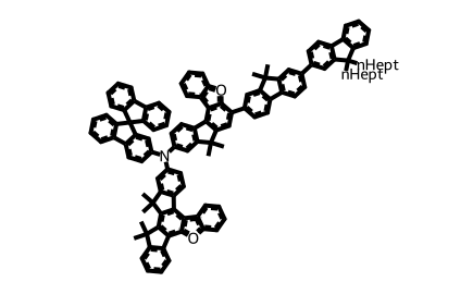 CCCCCCCC1(CCCCCCC)c2ccccc2-c2ccc(-c3ccc4c(c3)C(C)(C)c3cc(-c5cc6c(c7c5oc5ccccc57)-c5ccc(N(c7ccc8c(c7)C(C)(C)c7c9c(c%10oc%11ccccc%11c%10c7-8)-c7ccccc7C9(C)C)c7ccc8c(c7)C7(c9ccccc9-c9ccccc97)c7ccccc7-8)cc5C6(C)C)ccc3-4)cc21